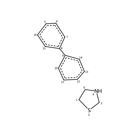 C1CSCN1.c1ccc(-c2ccccc2)cc1